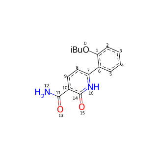 CC(C)COc1ccccc1-c1ccc(C(N)=O)c(=O)[nH]1